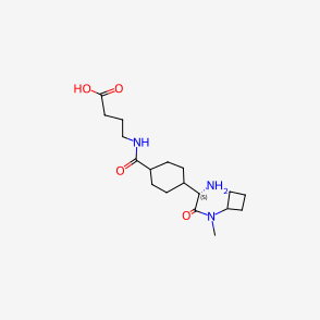 CN(C(=O)[C@@H](N)C1CCC(C(=O)NCCCC(=O)O)CC1)C1CCC1